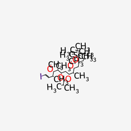 CCC(CC(OC)C(C)CCC(OC(=O)C(C)C)C(C)C(OC)C(C)/C=C/I)O[Si](C)(C)C(C)(C)C